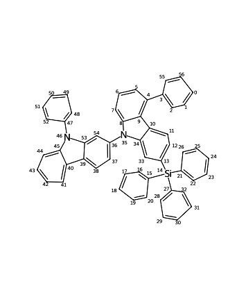 c1ccc(-c2cccc3c2c2ccc([Si](c4ccccc4)(c4ccccc4)c4ccccc4)cc2n3-c2ccc3c4ccccc4n(-c4ccccc4)c3c2)cc1